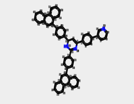 C1=C(c2ccc(-c3cccnc3)cc2)N=C(c2ccc(-c3cc4ccccc4c4ccccc34)cc2)NC1c1ccc(-c2cc3ccccc3c3ccccc23)cc1